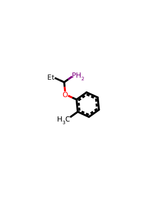 CCC(P)Oc1ccccc1C